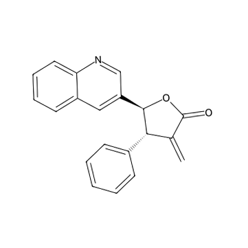 C=C1C(=O)O[C@H](c2cnc3ccccc3c2)[C@H]1c1ccccc1